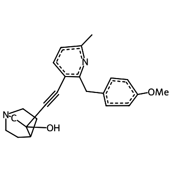 COc1ccc(Cc2nc(C)ccc2C#CC2(O)CN3CCC2CC3)cc1